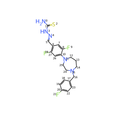 NC(=S)NN=Cc1cc(F)c(N2CCCN(Cc3ccc(F)cc3)CC2)cc1F